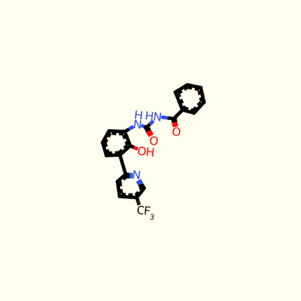 O=C(NC(=O)c1ccccc1)Nc1cccc(-c2ccc(C(F)(F)F)cn2)c1O